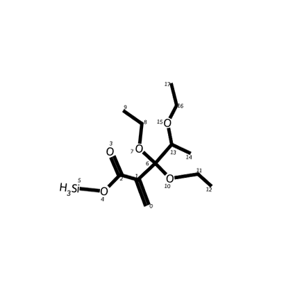 C=C(C(=O)O[SiH3])C(OCC)(OCC)C(C)OCC